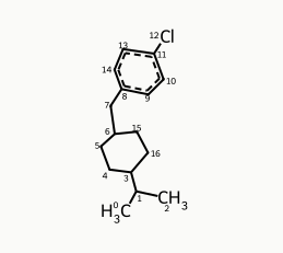 CC(C)C1CCC(Cc2ccc(Cl)cc2)CC1